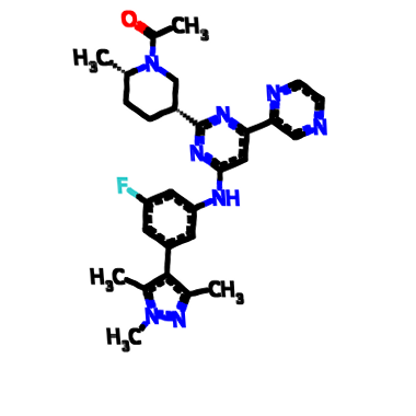 CC(=O)N1C[C@H](c2nc(Nc3cc(F)cc(-c4c(C)nn(C)c4C)c3)cc(-c3cnccn3)n2)CC[C@@H]1C